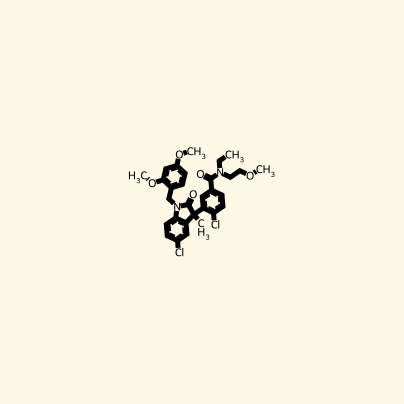 CCN(CCOC)C(=O)c1ccc(Cl)c(C2(C)C(=O)N(Cc3ccc(OC)cc3OC)c3ccc(Cl)cc32)c1